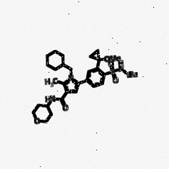 COC1(c2cc(-c3cc(C(=O)NC4CCOCC4)c(C)n3CC3CCCCC3)ccc2S(=O)(=O)NC(C)(C)C)CC1